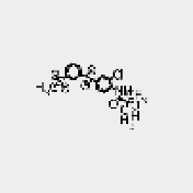 C[C@@](O)(C(=O)Nc1ccc(S(=O)(=O)c2cccc(S(C)(=O)=O)c2)cc1Cl)C(F)(F)F